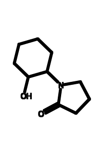 O=C1CCCN1C1CCCCC1O